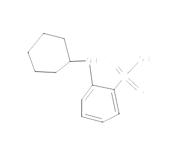 NS(=O)(=O)c1ccccc1NC1CCCCC1